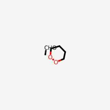 C1CCOOC1.CC=O